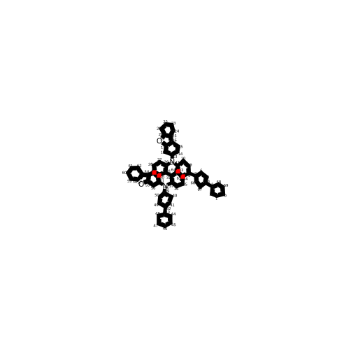 c1ccc(-c2ccc(-c3ccc(N(c4ccc5c(c4)oc4ccccc45)c4ccccc4-c4ccccc4N(c4ccc(-c5ccccc5)cc4)c4ccc5c(c4)oc4ccccc45)cc3)cc2)cc1